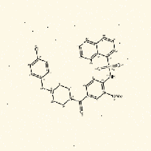 COc1cc(C(=O)N2CCN(Cc3ccc(Cl)cc3)CC2)ccc1NS(=O)(=O)c1cccc2cccnc12